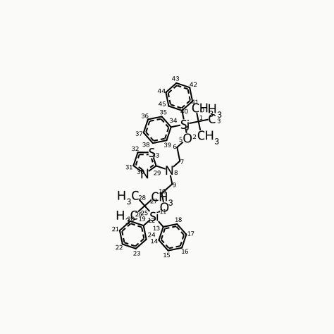 CC(C)(C)[Si](OCCN(CCO[Si](c1ccccc1)(c1ccccc1)C(C)(C)C)c1nccs1)(c1ccccc1)c1ccccc1